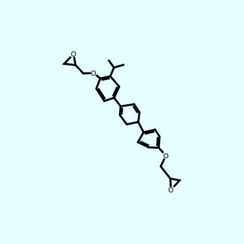 CC(C)c1cc(C2=CCC(c3ccc(OCC4CO4)cc3)C=C2)ccc1OCC1CO1